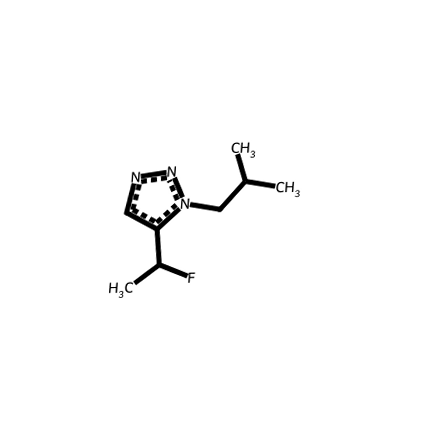 CC(C)Cn1nncc1C(C)F